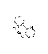 [Cl][Ru][Cl].c1ccc(-c2ccccn2)nc1